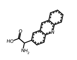 NC(C(=O)O)c1ccc2nc3ccccc3cc2c1